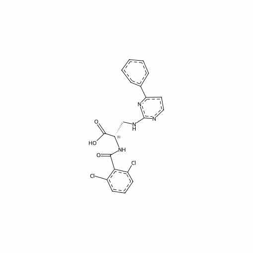 O=C(N[C@@H](CNc1nccc(-c2ccccc2)n1)C(=O)O)c1c(Cl)cccc1Cl